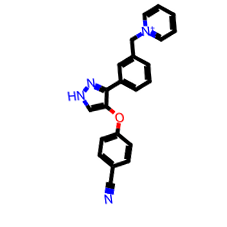 N#Cc1ccc(Oc2c[nH]nc2-c2cccc(C[n+]3ccccc3)c2)cc1